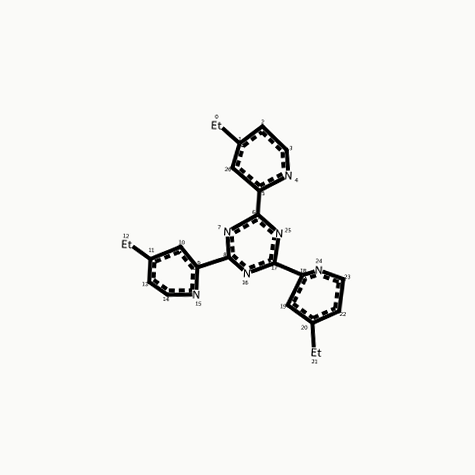 CCc1ccnc(-c2nc(-c3cc(CC)ccn3)nc(-c3cc(CC)ccn3)n2)c1